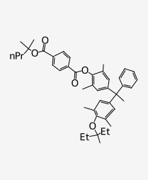 CCCC(C)(C)OC(=O)c1ccc(C(=O)Oc2c(C)cc(C(C)(c3ccccc3)c3cc(C)c(OC(C)(CC)CC)c(C)c3)cc2C)cc1